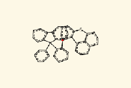 c1ccc(C2(c3ccccc3-c3cccc4c3-c3cccc5cccc(c35)S4)c3ccccc3-c3ccccc32)cc1